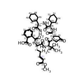 COC(=O)/C=C/CC[C@H](NC(=O)c1ccccc1C(=O)O)C(=O)N[C@H](C(=O)N1CC(=O)C[C@H]1C(=O)N[C@H](C(=O)N[C@H](C(N)=O)C1CCCCC1)C1CCCCC1)C(C)(C)C